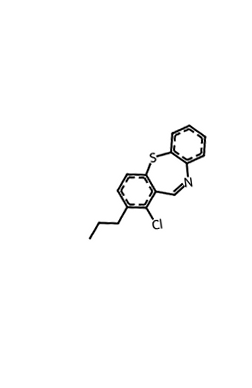 CCCc1ccc2c(c1Cl)C=Nc1ccccc1S2